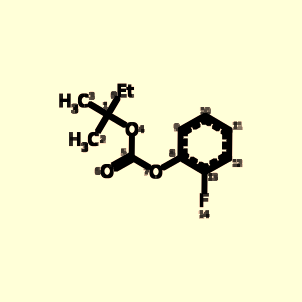 CCC(C)(C)OC(=O)Oc1ccccc1F